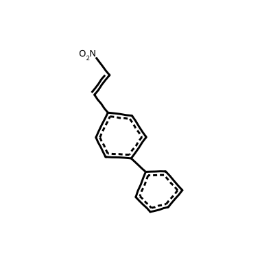 O=[N+]([O-])C=Cc1ccc(-c2ccccc2)cc1